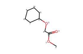 COC(=O)COC1CCCCC1